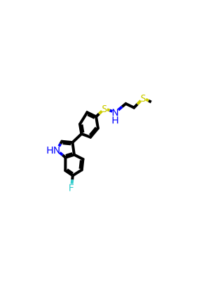 CSCCNSc1ccc(-c2c[nH]c3cc(F)ccc23)cc1